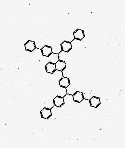 c1ccc(-c2ccc(N(c3ccc(-c4ccccc4)cc3)c3ccc(-c4ccc(N(c5ccc(-c6ccccc6)cc5)c5ccc(-c6ccccc6)cc5)c5ccccc45)cc3)cc2)cc1